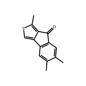 Cc1cc2c(cc1C)-c1csc(C)c1C2=O